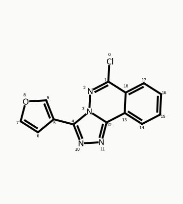 Clc1nn2c(-c3ccoc3)nnc2c2ccccc12